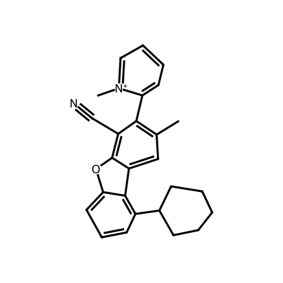 Cc1cc2c(oc3cccc(C4CCCCC4)c32)c(C#N)c1-c1cccc[n+]1C